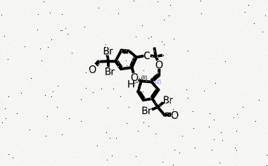 CC1(C)Cc2ccc(C(Br)(Br)C=O)cc2O[C@@H]2C=CC(C(Br)(Br)C=O)=C/C2=C/O1